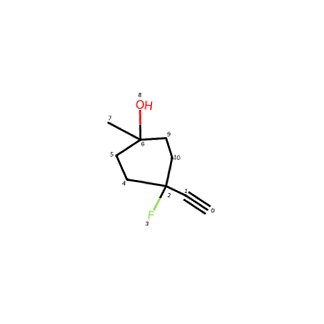 C#CC1(F)CCC(C)(O)CC1